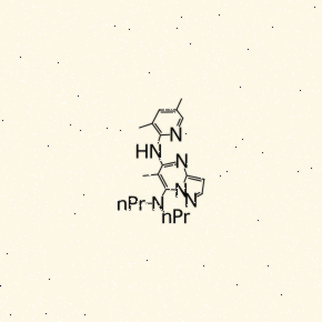 CCCN(CCC)c1c(C)c(Nc2ncc(C)cc2C)nc2ccnn12